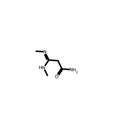 CN=C(CC(N)=O)NC